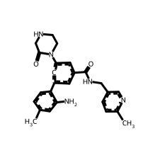 Cc1ccc(-c2cc(C(=O)NCc3ccc(C)nc3)cc(N3CCNCC3=O)c2)c(N)c1